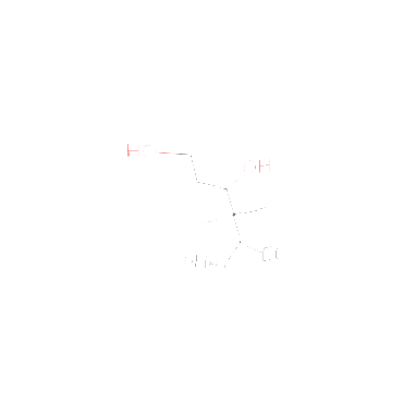 CCCCCCC(CC)C(C)(C)C(O)CCO